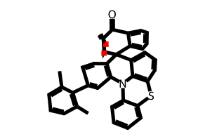 Cc1cccc(C)c1-c1ccc2c(c1)N1c3ccccc3Sc3cccc(c31)C21c2ccccc2C(=O)c2ccccc21